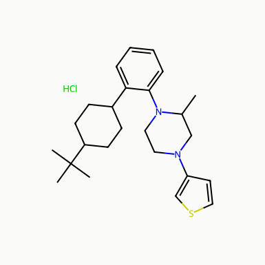 CC1CN(c2ccsc2)CCN1c1ccccc1C1CCC(C(C)(C)C)CC1.Cl